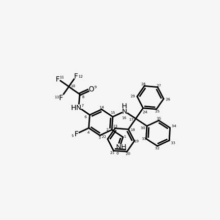 N=Cc1cc(F)c(NC(=O)C(F)(F)F)cc1NC(c1ccccc1)(c1ccccc1)c1ccccc1